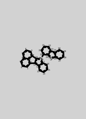 c1cc2c3c(cccc3c1)-c1c-2c2ccccc2n1-c1cccc2c1sc1ccccc12